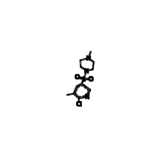 Cc1cc(S(=O)(=O)N2CCN(C)CC2)cnc1Cl